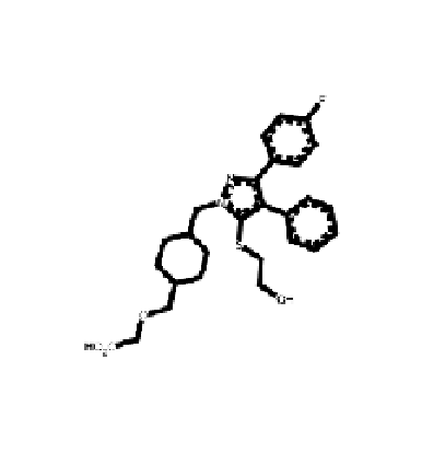 O=C(O)COCC1CCC(Cn2nc(-c3ccc(F)cc3)c(-c3ccccc3)c2SCCO)CC1